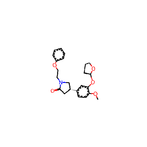 COc1ccc([C@@H]2CC(=O)N(CCOc3ccccc3)C2)cc1OC1CCCO1